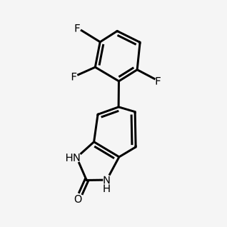 O=c1[nH]c2ccc(-c3c(F)ccc(F)c3F)cc2[nH]1